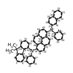 CC1(C)c2ccccc2-c2c(N(c3ccccc3)c3ccc4ccc5c(N(c6ccc7ccccc7c6)c6ccccn6)ccc6ccc3c4c65)cccc21